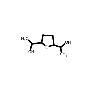 CC(O)C1CCC(C(C)O)O1